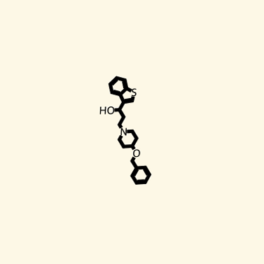 OC(CCN1CCC(OCc2ccccc2)CC1)c1csc2ccccc12